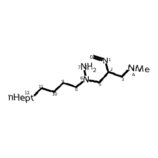 C=NC(CNC)CN(N)CCCCCCCCCCC